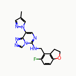 Cc1cnn(-c2cnc(NCc3c(F)ccc4c3CCO4)n3cnnc23)c1